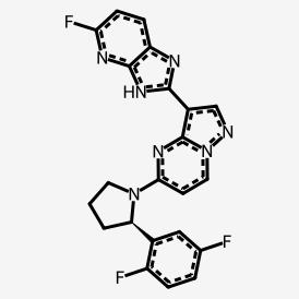 Fc1ccc(F)c([C@H]2CCCN2c2ccn3ncc(-c4nc5ccc(F)nc5[nH]4)c3n2)c1